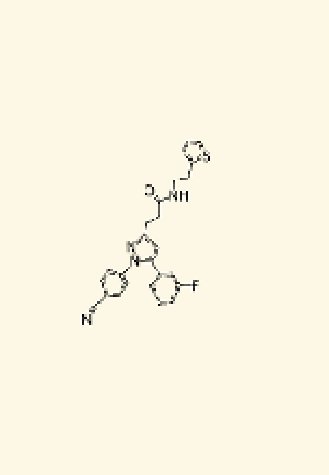 N#Cc1ccc(-n2nc(CCC(=O)NCCc3cccs3)cc2-c2cccc(F)c2)cc1